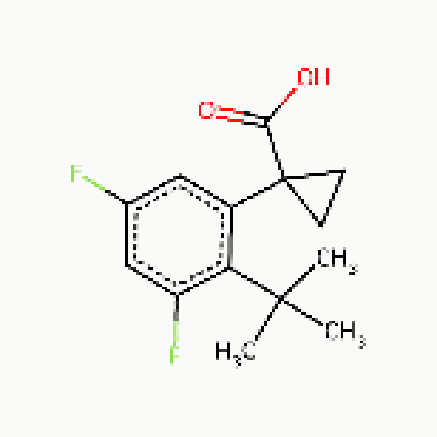 CC(C)(C)c1c(F)cc(F)cc1C1(C(=O)O)CC1